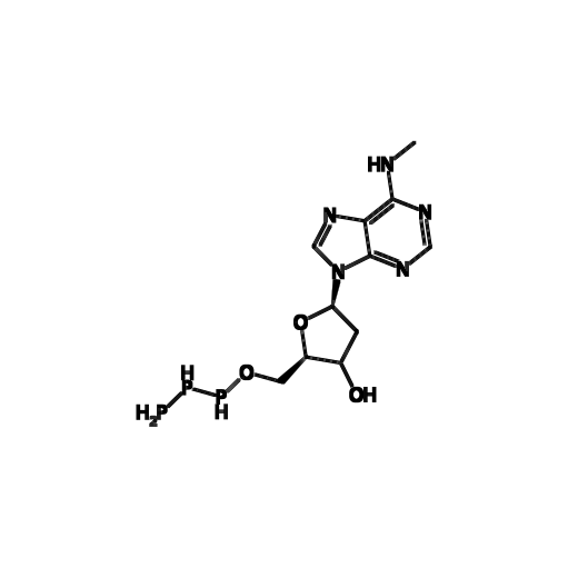 CNc1ncnc2c1ncn2[C@H]1CC(O)[C@@H](COPPP)O1